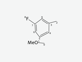 COC.Cc1cccc(F)c1